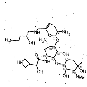 CN[C@@H]1[C@@H](O)[C@@H](O[C@@H]2[C@@H](O)[C@H](O[C@H]3OC(CNCC(O)CCN)=CC[C@H]3N)[C@@H](N)C[C@H]2NC(=O)C(O)C2CNC2)OC[C@]1(C)O